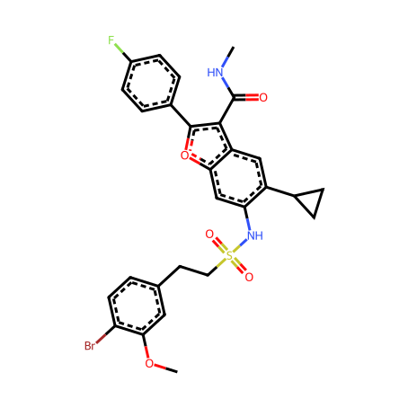 CNC(=O)c1c(-c2ccc(F)cc2)oc2cc(NS(=O)(=O)CCc3ccc(Br)c(OC)c3)c(C3CC3)cc12